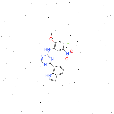 COc1cc(F)c([N+](=O)[O-])cc1Nc1ncnc(-c2cccc3cc[nH]c23)n1